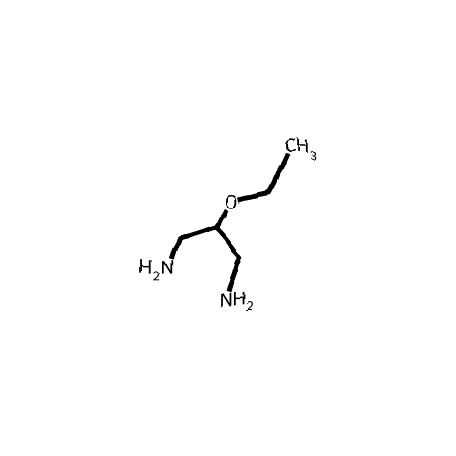 CCOC(CN)CN